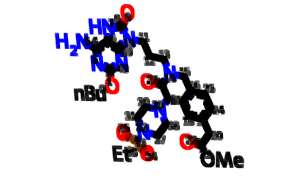 CCCCOc1nc(N)c2[nH]c(=O)n(CCCN(Cc3ccc(CC(=O)OC)cc3)C(=O)CN3CCN(S(=O)(=O)CC)CC3)c2n1